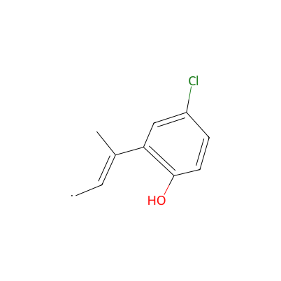 [CH2]C=C(C)c1cc(Cl)ccc1O